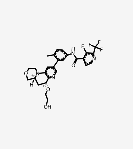 Cc1ccc(NC(=O)c2ccnc(C(F)(F)F)c2F)cc1-c1cnc2c(c1)N1CCOC[C@H]1C[C@H]2OCCO